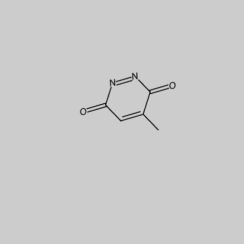 CC1=CC(=O)N=NC1=O